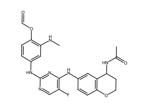 CNc1cc(Nc2ncc(F)c(Nc3ccc4c(c3)C(NC(C)=O)CCO4)n2)ccc1OC=O